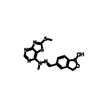 CSc1nc2ncnc(N(C)/N=C/c3ccc4c(c3)COB4O)c2s1